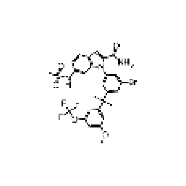 COc1cc(OC(F)(F)F)cc(C(C)(C)c2cc(Br)cc(-n3c(C(N)=O)cc4ccc(NS(C)(=O)=O)cc43)c2)c1